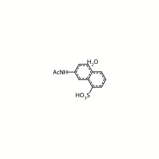 CC(=O)Nc1ccc2cccc(S(=O)(=O)O)c2c1.O